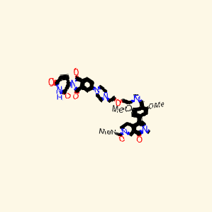 CNC(=O)N1CCc2c(-c3cc(OC)c(CN(C)CCOCCN4CCN(c5ccc6c(c5)C(=O)N(C5CCC(=O)NC5=O)C6=O)CC4)c(OC)c3)cn(C)c(=O)c2C1